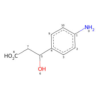 Nc1ccc(C(O)CC(=O)O)cc1